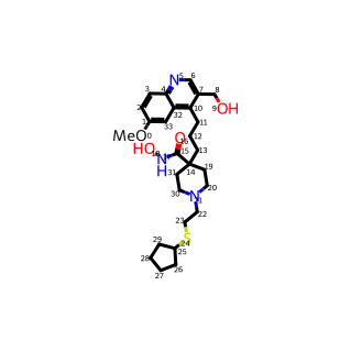 COc1ccc2ncc(CO)c(CCCC3(C(=O)NO)CCN(CCSC4CCCC4)CC3)c2c1